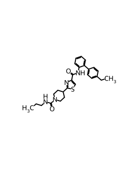 CCCNC(=O)N1CCC(c2nc(C(=O)Nc3ccccc3-c3ccc(CC)cc3)cs2)CC1